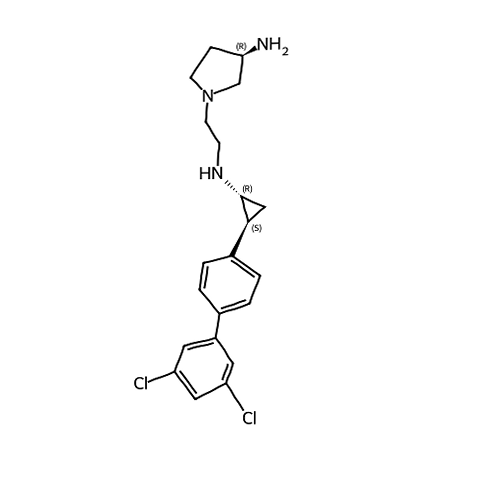 N[C@@H]1CCN(CCN[C@@H]2C[C@H]2c2ccc(-c3cc(Cl)cc(Cl)c3)cc2)C1